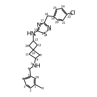 Cc1cccc(CNC2CC3(C2)CC(Nc2nc(Cc4ccc(Cl)cc4)ns2)C3)c1